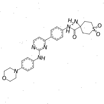 NC1(C(=O)Nc2ccc(-c3ccnc(Nc4ccc(N5CCOCC5)cc4)n3)cc2)CCS(=O)(=O)CC1